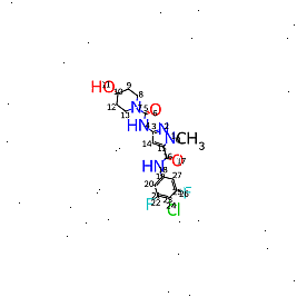 Cn1nc(NC(=O)N2CCC(O)CC2)cc1C(=O)Nc1cc(F)c(Cl)c(F)c1